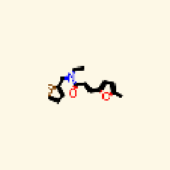 CCN(Cc1cccs1)C(=O)C=Cc1ccc(C)o1